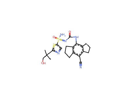 CC(C)(CO)c1ncc([S@](N)(=O)=NC(=O)Nc2c3c(c(C#N)c4c2CCC4)CCC3)s1